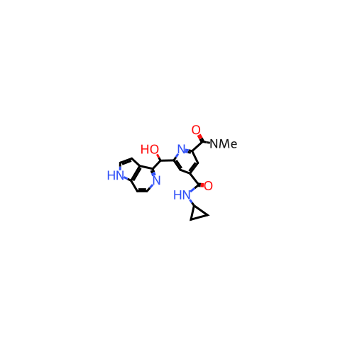 CNC(=O)c1cc(C(=O)NC2CC2)cc(C(O)c2nccc3[nH]ccc23)n1